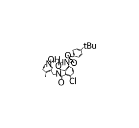 Cc1cc[n+](O)cc1CN1C(=O)c2c(Cl)ccc(NS(=O)(=O)c3ccc(C(C)(C)C)cc3)c2C1=O